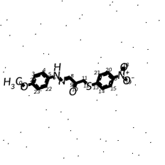 COc1ccc(NN=CC(=O)CSc2ccc([N+](=O)[O-])cc2)cc1